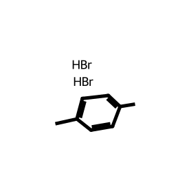 Br.Br.Cc1ccc(C)cc1